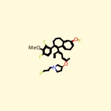 C=C/C(=C\C=C(/C)O[C@H]1CCN(CCCF)C1)C1=C(c2ccc(F)c(OC)c2F)CCCC2=CC(OF)=CCC=C21